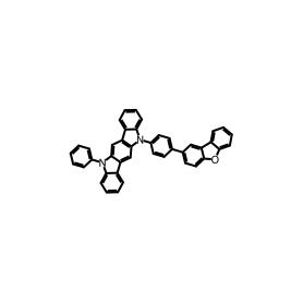 c1ccc(-n2c3ccccc3c3cc4c(cc32)c2ccccc2n4-c2ccc(-c3ccc4oc5ccccc5c4c3)cc2)cc1